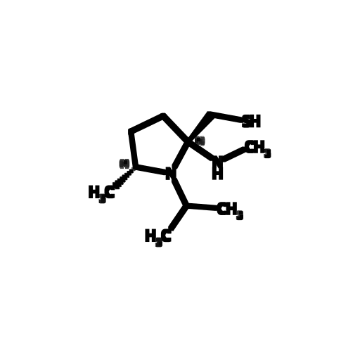 CN[C@@]1(CS)CC[C@@H](C)N1C(C)C